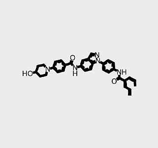 C=C/C=C(\C=C/C)C(=O)Nc1ccc(-n2ncc3cc(NC(=O)c4ccc(N5CCC(O)CC5)cc4)ccc32)cc1